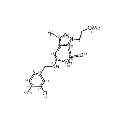 COCCn1nc(F)c2nc(NCc3ccc(Cl)c(Cl)c3)[nH]c(=O)c21